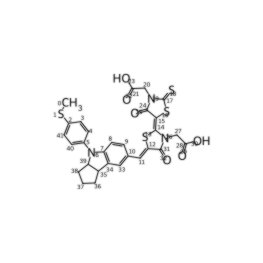 CSc1ccc(N2c3ccc(/C=c4\s/c(=C5/SC(=S)N(CC(=O)O)C5=O)n(CC(=O)O)c4=O)cc3C3CCCC32)cc1